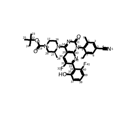 Cc1cc(C#N)cc(C)c1-n1c(=O)nc(N2CCN(C(=O)OC(C)(C)C)C[C@@H]2C)c2cc(F)c(-c3c(O)cccc3F)nc21